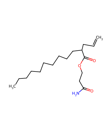 C=CCC(CCCCCCCCCC)C(=O)OCCC(N)=O